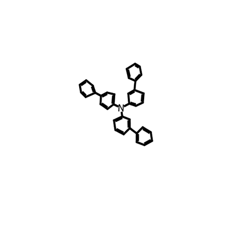 c1ccc(-c2ccc(N(c3cccc(-c4ccccc4)c3)c3cccc(-c4ccccc4)c3)cc2)cc1